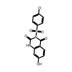 O=c1[nH]c2cc(O)ccc2c(=O)n1S(=O)(=O)c1ccc(Cl)cc1